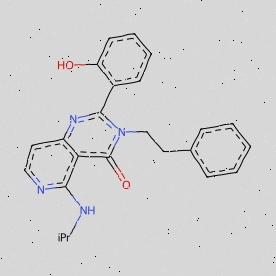 CC(C)Nc1nccc2nc(-c3ccccc3O)n(CCc3ccccc3)c(=O)c12